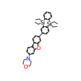 CC[Si]1(CC)c2ccccc2[Si](CC)(CC)c2cc(-c3ccc4c(c3)oc3cc(N5CCOCC5)ccc34)ccc21